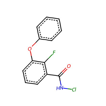 O=C(NCl)c1cccc(Oc2ccccc2)c1F